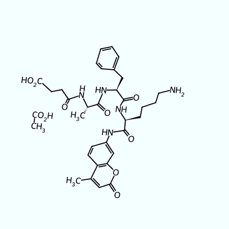 CC(=O)O.Cc1cc(=O)oc2cc(NC(=O)[C@H](CCCCN)NC(=O)[C@H](Cc3ccccc3)NC(=O)[C@H](C)NC(=O)CCC(=O)O)ccc12